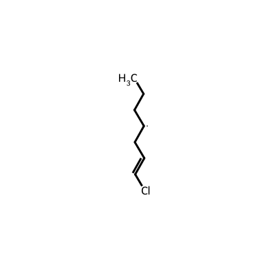 CCC[CH]CC=CCl